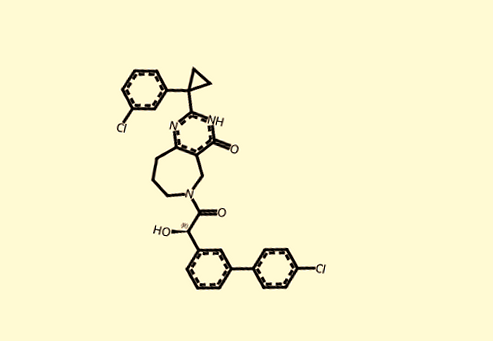 O=C([C@H](O)c1cccc(-c2ccc(Cl)cc2)c1)N1CCCc2nc(C3(c4cccc(Cl)c4)CC3)[nH]c(=O)c2C1